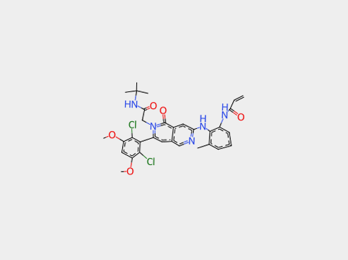 C=CC(=O)Nc1cccc(C)c1Nc1cc2c(=O)n(CC(=O)NC(C)(C)C)c(-c3c(Cl)c(OC)cc(OC)c3Cl)cc2cn1